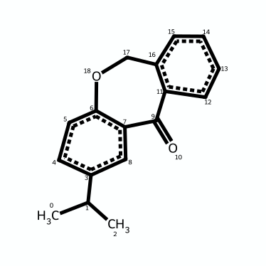 CC(C)c1ccc2c(c1)C(=O)c1ccccc1CO2